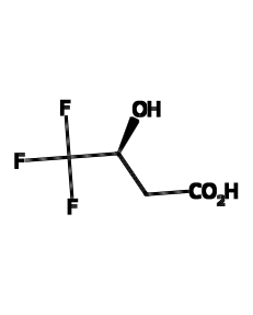 O=C(O)C[C@H](O)C(F)(F)F